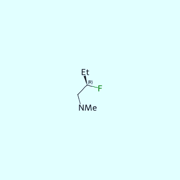 CC[C@@H](F)CNC